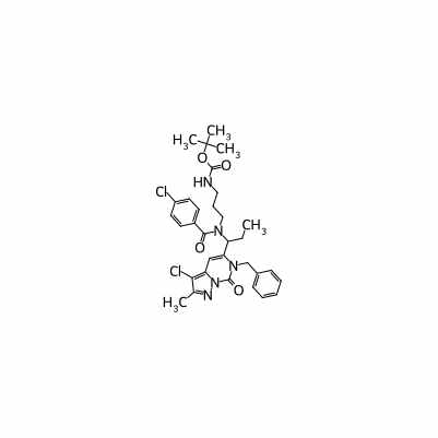 CCC(c1cc2c(Cl)c(C)nn2c(=O)n1Cc1ccccc1)N(CCCNC(=O)OC(C)(C)C)C(=O)c1ccc(Cl)cc1